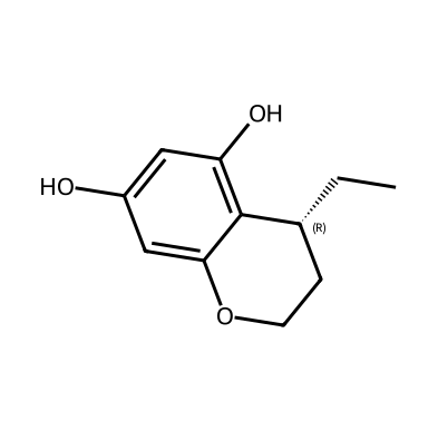 CC[C@@H]1CCOc2cc(O)cc(O)c21